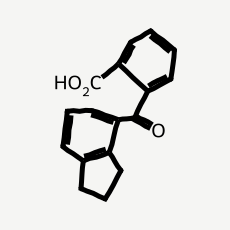 O=C(O)c1ccccc1C(=O)c1cccc2c1CCC2